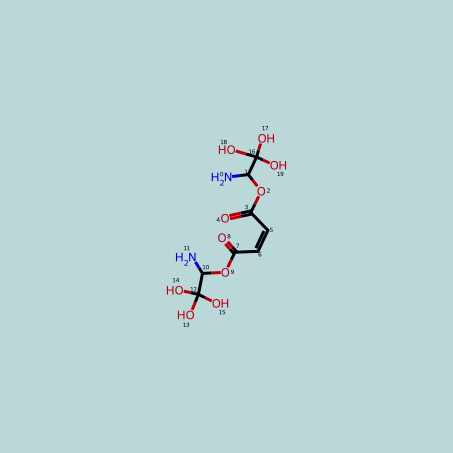 NC(OC(=O)/C=C\C(=O)OC(N)C(O)(O)O)C(O)(O)O